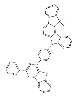 CC1(C)c2ccccc2-c2ccc3c(c21)c1ccccc1n3-c1ccc(-c2nc(-c3ccccc3)nc3c2sc2ccccc23)cc1